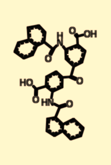 O=C(c1ccc(C(=O)O)c(NC(=O)c2cccc3ccccc23)c1)c1ccc(C(=O)O)c(NC(=O)c2cccc3ccccc23)c1